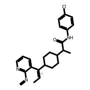 C=Nc1ncccc1/C(=C\C)C1CCC(C(C)C(=O)Nc2ccc(Cl)cc2)CC1